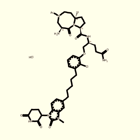 CC(=O)N1CC[C@H]2CC[C@@H](C(=O)N[C@@H](CCC(N)=O)COc3cccc(CCCCCc4ccc5c(c4)n(C)c(=O)n5C4CCC(=O)NC4=O)c3Cl)N2C(=O)[C@@H](N)C1.Cl